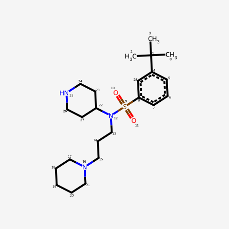 CC(C)(C)c1cccc(S(=O)(=O)N(CCCN2CCCCC2)C2CCNCC2)c1